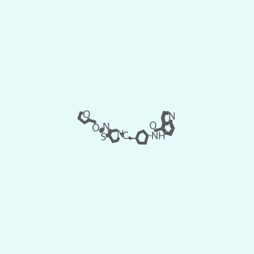 O=C(N[C@H]1CC[C@H](CCN2CCc3sc(OCC4CCCO4)nc3C2)CC1)c1cccc2ncccc12